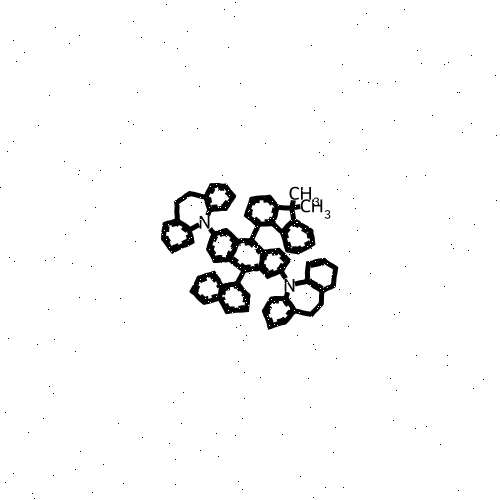 CC1(C)c2ccccc2-c2c(-c3c4cc(N5c6ccccc6CCc6ccccc65)ccc4c(-c4cccc5ccccc45)c4cc(N5C6=C(CCC=C6)CCc6ccccc65)ccc34)cccc21